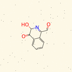 O=CC1=NC(O)C(=O)c2ccccc21